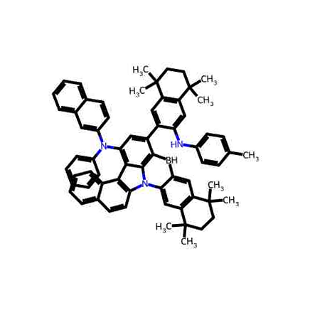 Cc1ccc(Nc2cc3c(cc2-c2cc(N(c4ccccc4)c4ccc5ccccc5c4)c4c5c6ccccc6ccc5n5c4c2Bc2cc4c(cc2-5)C(C)(C)CCC4(C)C)C(C)(C)CCC3(C)C)cc1